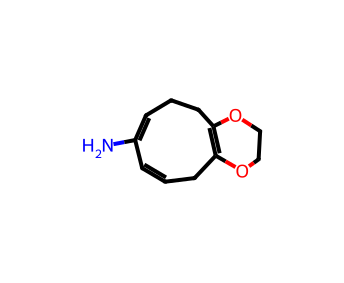 NC1=C/CCC2=C(C/C=C\1)OCCO2